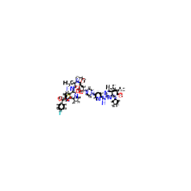 CC(=O)c1c(C)c2cnc(Nc3ccc(N4CCN(C(=O)CCC(=O)N(C)C(C)C(=O)N[C@H](C(=O)N5CCCC5c5nc(C(=O)c6ccc(F)cc6)cs5)C5CCCCC5)CC4)cn3)nc2n(C2CCCC2)c1=O